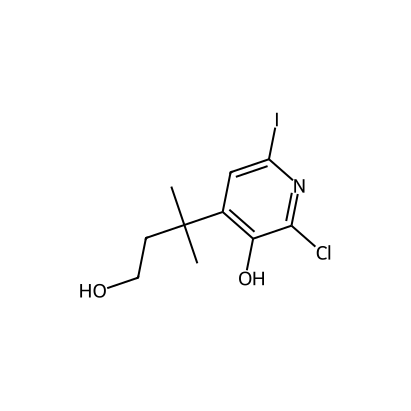 CC(C)(CCO)c1cc(I)nc(Cl)c1O